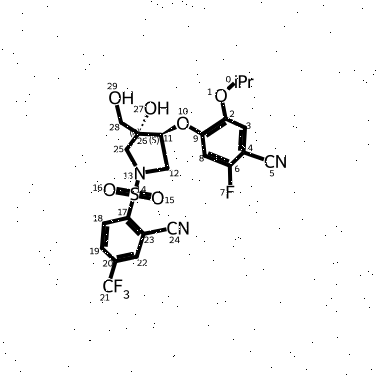 CC(C)Oc1cc(C#N)c(F)cc1O[C@H]1CN(S(=O)(=O)c2ccc(C(F)(F)F)cc2C#N)C[C@@]1(O)CO